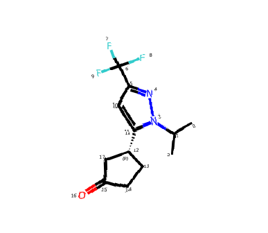 CC(C)n1nc(C(F)(F)F)cc1[C@@H]1CCC(=O)C1